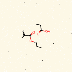 C=C(C)C(=O)OCCC.CCC(=O)O